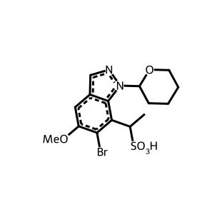 COc1cc2cnn(C3CCCCO3)c2c(C(C)S(=O)(=O)O)c1Br